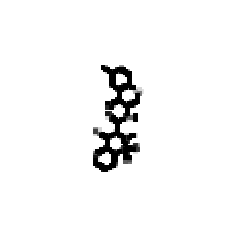 Cc1ccc2occ(NC(=O)C3C(=O)c4ccccc4S(=O)(=O)N3C)c(=O)c2c1